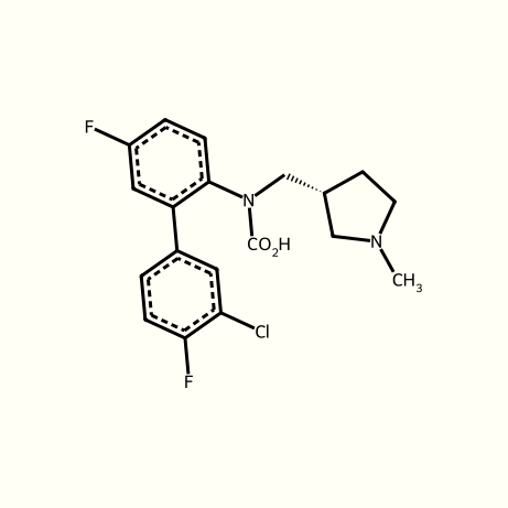 CN1CC[C@@H](CN(C(=O)O)c2ccc(F)cc2-c2ccc(F)c(Cl)c2)C1